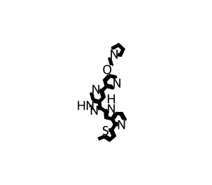 Cc1ccc(-c2nccc3[nH]c(-c4n[nH]c5cnc(-c6cncc(OCCN7CCCC7)c6)cc45)cc23)s1